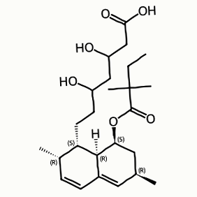 CCC(C)(C)C(=O)O[C@H]1C[C@@H](C)C=C2C=C[C@H](C)[C@H](CCC(O)CC(O)CC(=O)O)[C@H]21